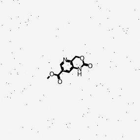 COC(=O)c1cnc2c(c1)NC(=O)OC2